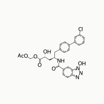 CC(=O)OCOC(=O)[C@H](O)C[C@@H](Cc1ccc(-c2cccc(Cl)c2)cc1)NC(=O)c1ccc2nnn(O)c2c1